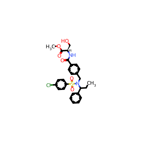 CCC(c1ccccc1)N(Cc1ccc(C(=O)N[C@H](CO)C(=O)OC)cc1)S(=O)(=O)c1ccc(Cl)cc1